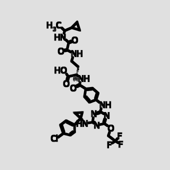 CC(NC(=O)C(=O)NCC[C@H](NC(=O)c1ccc(Nc2nc(NC3(c4ccc(Cl)cc4)CC3)nc(OCC(F)(F)F)n2)cc1)C(=O)O)C1CC1